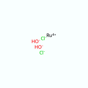 [Cl-].[Cl-].[OH-].[OH-].[Ru+4]